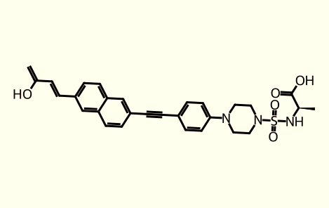 C=C(O)/C=C/c1ccc2cc(C#Cc3ccc(N4CCN(S(=O)(=O)N[C@H](C)C(=O)O)CC4)cc3)ccc2c1